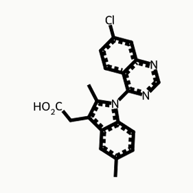 Cc1ccc2c(c1)c(CC(=O)O)c(C)n2-c1ncnc2cc(Cl)ccc12